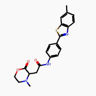 Cc1ccc2nc(-c3ccc(NC(=O)CC4C(=O)OCCN4C)cc3)sc2c1